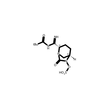 CC(C)(C)C(=O)NC(=N)[C@@H]1CC[C@@H]2CN1C(=O)N2OS(=O)(=O)O